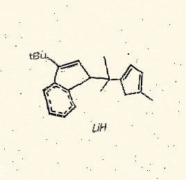 CC1=CC=C(C(C)(C)C2C=C(C(C)(C)C)c3ccccc32)C1.[LiH]